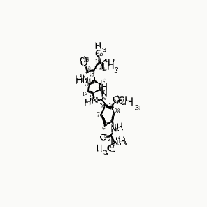 CNC(=O)Nc1ccc(C2Nc3cc4c(cc3N2)C(C(C)C)C(=O)N4)c(OC)c1